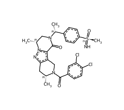 C[C@@H]1Cc2nn3c(c2CN1C(=O)c1ccc(Cl)c(Cl)c1)C(=O)N([C@H](C)c1ccc([S@@](C)(=N)=O)cc1)C[C@H]3C